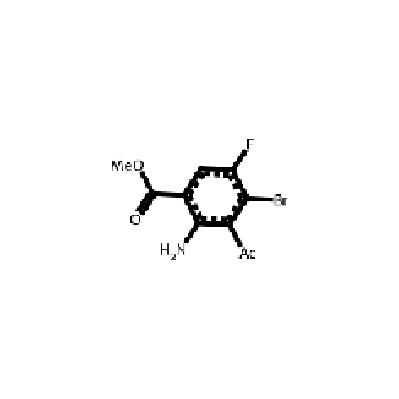 COC(=O)c1cc(F)c(Br)c(C(C)=O)c1N